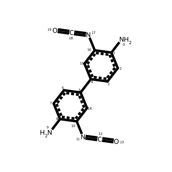 Nc1ccc(-c2ccc(N)c(N=C=O)c2)cc1N=C=O